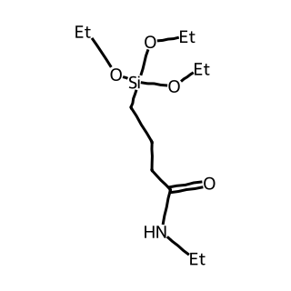 CCNC(=O)CCC[Si](OCC)(OCC)OCC